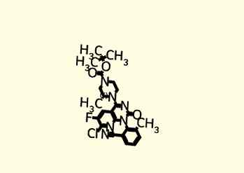 Cc1cccc(C#N)c1-n1c(=O)nc(N2CCN(C(=O)OC(C)(C)C)C[C@@H]2C)c2cc(F)c(Cl)nc21